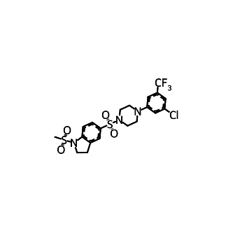 CS(=O)(=O)N1CCc2cc(S(=O)(=O)N3CCN(c4cc(Cl)cc(C(F)(F)F)c4)CC3)ccc21